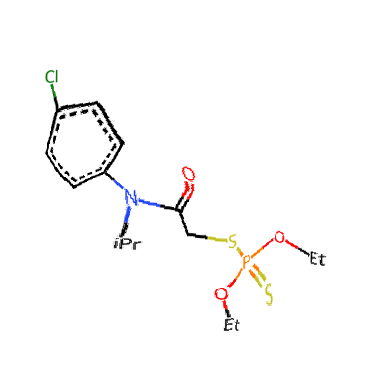 CCOP(=S)(OCC)SCC(=O)N(c1ccc(Cl)cc1)C(C)C